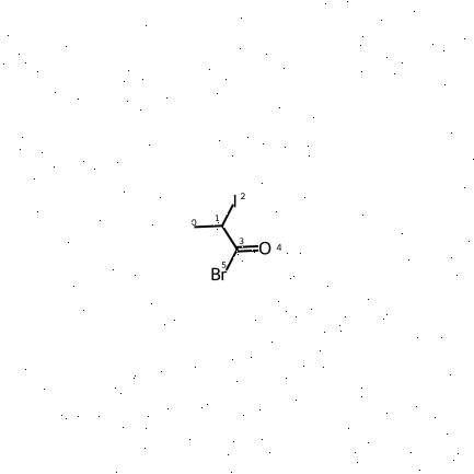 CC(I)C(=O)Br